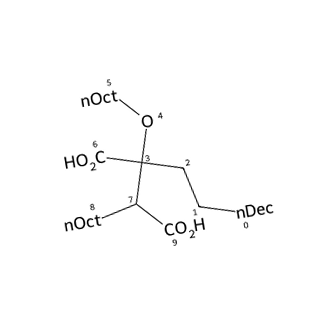 CCCCCCCCCCCCC(OCCCCCCCC)(C(=O)O)C(CCCCCCCC)C(=O)O